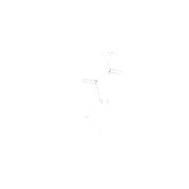 COC(=O)C(=O)NC(C)C(F)(F)F